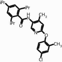 Cc1cc(Oc2ccc(Cl)cc2C)ncc1NC(=O)c1c(C(C)C)cc(C(C)C)cc1C(C)C